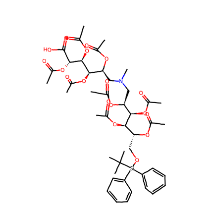 CC(=O)O[C@@H]([C@H](OC(C)=O)[C@H](OC(C)=O)C(=O)O)[C@H](CN(C)C[C@H](OC(C)=O)[C@@H](OC(C)=O)[C@H](OC(C)=O)[C@@H](CO[Si](c1ccccc1)(c1ccccc1)C(C)(C)C)OC(C)=O)OC(C)=O